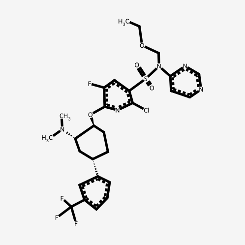 CCOCN(c1ccncn1)S(=O)(=O)c1cc(F)c(O[C@H]2CC[C@H](c3cccc(C(F)(F)F)c3)C[C@@H]2N(C)C)nc1Cl